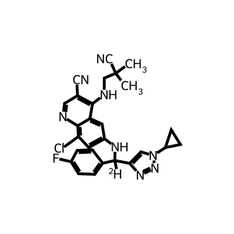 [2H]C(Nc1cc(Cl)c2ncc(C#N)c(NCC(C)(C)C#N)c2c1)(c1ccc(F)cc1)c1cn(C2CC2)nn1